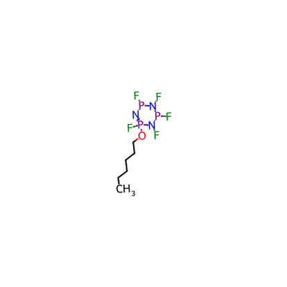 CCCCCCOP1(F)=NP(F)N(F)P(F)N1F